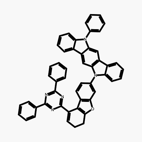 C1=C(c2nc(-c3ccccc3)nc(-c3ccccc3)n2)c2c(oc3cc(-n4c5ccccc5c5cc6c(cc54)c4ccccc4n6-c4ccccc4)ccc23)CC1